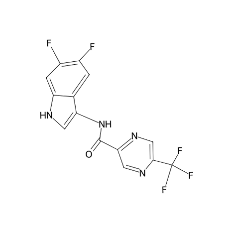 O=C(Nc1c[nH]c2cc(F)c(F)cc12)c1cnc(C(F)(F)F)cn1